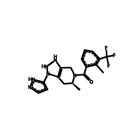 Cc1c(C(=O)N2CC3=C(C[C@@H]2C)N(c2ccn[nH]2)NN3)cccc1C(F)(F)F